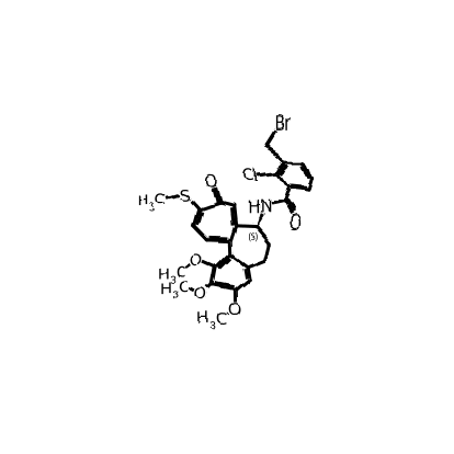 COc1cc2c(c(OC)c1OC)-c1ccc(SC)c(=O)cc1[C@@H](NC(=O)c1cccc(CBr)c1Cl)CC2